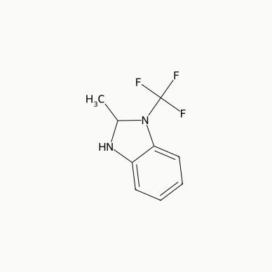 CC1Nc2ccccc2N1C(F)(F)F